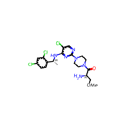 COC[C@@H](N)C(=O)N1CCN(c2ncc(Cl)c(N[C@H](C)c3ccc(Cl)cc3Cl)n2)CC1